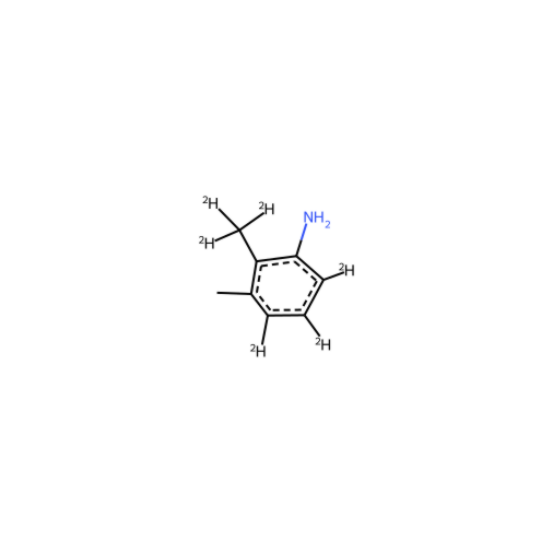 [2H]c1c([2H])c(C)c(C([2H])([2H])[2H])c(N)c1[2H]